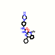 CCCN1C(=O)[C@H](NC(=O)Nc2ccc(N3CCNCC3)cc2)N=C(C2CCCCC2)c2ccccc21